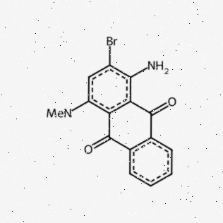 CNc1cc(Br)c(N)c2c1C(=O)c1ccccc1C2=O